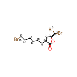 O=C1OC(=C(Br)Br)C=C1CCCCCCBr